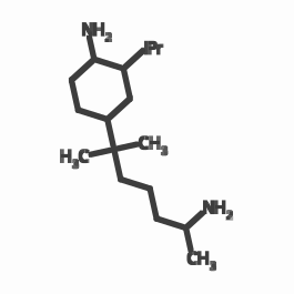 CC(N)CCCC(C)(C)C1CCC(N)C(C(C)C)C1